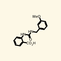 COc1cccc(CNC(=O)Nc2ccccc2C(=O)O)c1